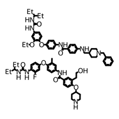 CCC(CC)NC(=O)Nc1ccc(Oc2ccc(NC(=O)c3ccc(OC4CCNCC4)c(CCO)c3)cc2C)cc1F.CCOc1cc(NC(=O)NC(CC)CC)ccc1Oc1ccc(NC(=O)c2ccc(NCC3CCN(Cc4ccccc4)CC3)cc2)cc1